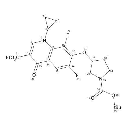 CCOC(=O)c1cn(C2CC2)c2c(F)c(OC3CCN(C(=O)OC(C)(C)C)C3)c(F)cc2c1=O